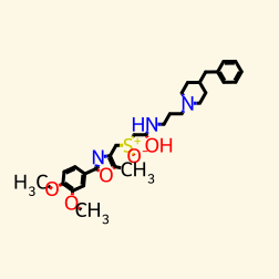 COc1ccc(-c2nc(C[S+]([O-])CC(O)NCCCN3CCC(Cc4ccccc4)CC3)c(C)o2)cc1OC